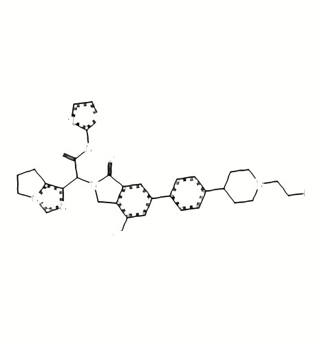 O=C(Nc1nccs1)C(c1ncn2c1CCC2)N1Cc2c(Cl)cc(-c3ccc(C4CCN(CCF)CC4)cc3)cc2C1=O